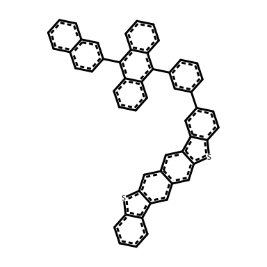 c1cc(-c2ccc3sc4cc5cc6c(cc5cc4c3c2)sc2ccccc26)cc(-c2c3ccccc3c(-c3ccc4ccccc4c3)c3ccccc23)c1